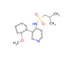 COc1ccccc1-c1cnccc1NS(=O)(=O)CC(C)C